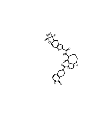 O=C(NC1CCCC[C@H]2CC[C@@H](C(=O)N3CCc4c(cc[nH]c4=O)C3)N2C1=O)c1cc2cc(C(F)(F)P(=O)(O)O)ccc2s1